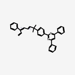 C=C/C(=C\C=C\C(C)(C)c1ccc(-c2nc(-c3ccccc3)cc(-c3ccccc3)n2)cc1)c1ccccc1